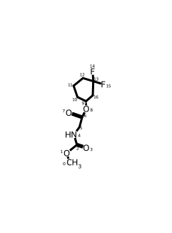 COC(=O)NCC(=O)O[C@H]1CCCC(F)(F)C1